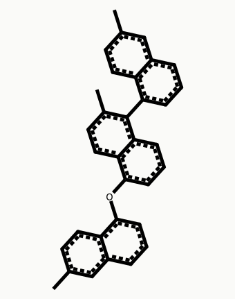 Cc1ccc2c(Oc3cccc4c(-c5cccc6cc(C)ccc56)c(C)ccc34)cccc2c1